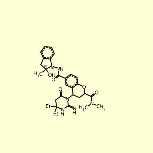 CCC1(CC)CC(=O)N(C2CC(C(=O)N(C)C)Oc3ccc(C(=O)N[C@@H]4c5ccccc5C[C@@]4(C)O)cc32)C(=N)N1